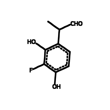 CC(C=O)c1ccc(O)c(F)c1O